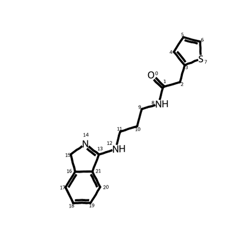 O=C(Cc1cccs1)NCCCNC1=NCc2ccccc21